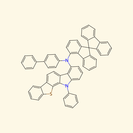 c1ccc(-c2ccc(N(c3cccc4c3-c3ccccc3C43c4ccccc4-c4ccccc43)c3cccc4c3c3ccc5c6ccccc6sc5c3n4-c3ccccc3)cc2)cc1